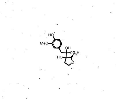 COc1cc(CC(O)(C(=O)O)C2(O)CCOC2=O)ccc1O